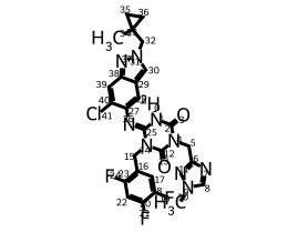 [2H]n1c(=O)n(Cc2ncn(C)n2)c(=O)n(Cc2cc(F)c(F)cc2F)/c1=N/c1cc2cn(CC3(C)CC3)nc2cc1Cl